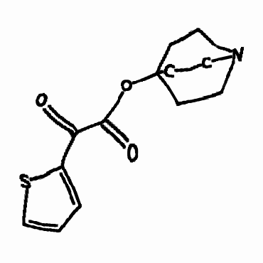 O=C(OC12CCN(CC1)CC2)C(=O)c1cccs1